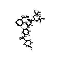 COc1ccccc1-n1nc(C2CC(C)(C)OC(C)(C)C2)cc1-c1ccc(C(=O)N2CCN(C)CC2)cc1